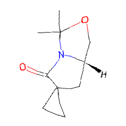 CC1(C)OC[C@@H]2CC3(CC3)C(=O)N21